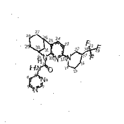 O=C(Nc1ccncn1)N1c2nc(N3CCCC(C(F)(F)F)C3)ccc2C2CCC[C@H]1C2